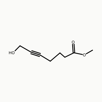 COC(=O)CCCC#CCO